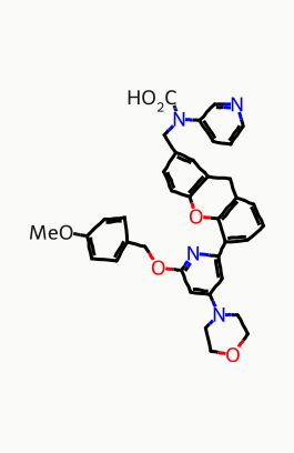 COc1ccc(COc2cc(N3CCOCC3)cc(-c3cccc4c3Oc3ccc(CN(C(=O)O)c5cccnc5)cc3C4)n2)cc1